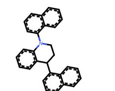 c1ccc2c(c1)C(c1cccc3ccccc13)CCN2c1cccc2ccccc12